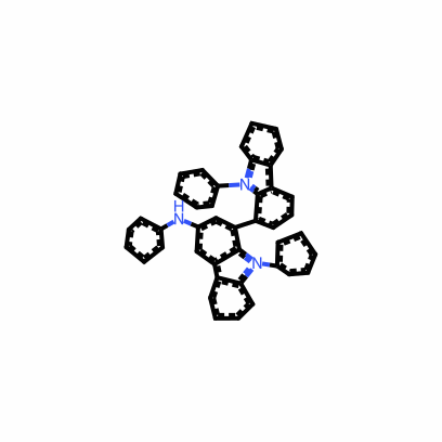 c1ccc(Nc2cc(-c3cccc4c5ccccc5n(-c5ccccc5)c34)c3c(c2)c2ccccc2n3-c2ccccc2)cc1